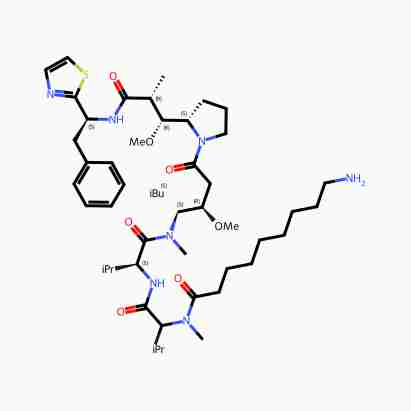 CC[C@H](C)[C@@H]([C@@H](CC(=O)N1CCC[C@H]1[C@H](OC)[C@@H](C)C(=O)N[C@@H](Cc1ccccc1)c1nccs1)OC)N(C)C(=O)[C@@H](NC(=O)C(C(C)C)N(C)C(=O)CCCCCCCCN)C(C)C